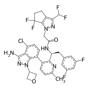 Cc1ccc(-c2ccc(Cl)c3c(N)nn(C4COC4)c23)c([C@H](Cc2cc(F)cc(F)c2)NC(=O)Cn2nc(C(F)F)c3c2C(F)(F)CC3)n1